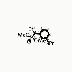 CCC(c1cccc(C(C)C)c1)P(=O)(OC)OC